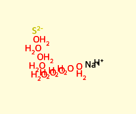 O.O.O.O.O.O.O.O.O.[H+].[Na+].[S-2]